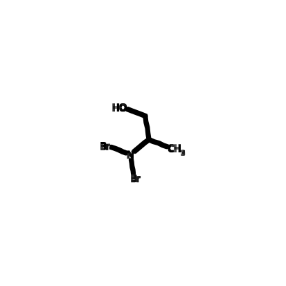 CC(CO)N(Br)Br